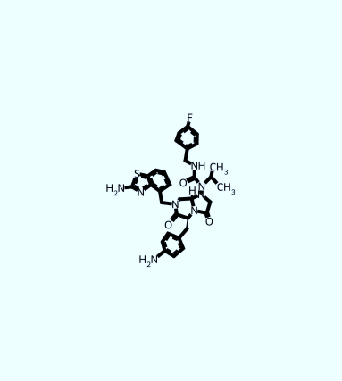 CC(C)N(C(=O)NCc1ccc(F)cc1)N1CC(=O)N2[C@@H](Cc3ccc(N)cc3)C(=O)N(Cc3cccc4sc(N)nc34)C[C@@H]21